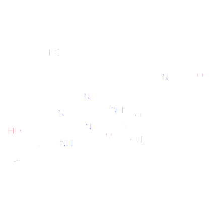 CC(C)C[C@H](CO)Nc1nc(CC(C)c2ccc(CCN3CCOCC3)cc2)nc(NS(C)(=O)=O)n1